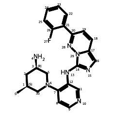 C[C@H]1C[C@@H](N)CN(c2ccncc2Nc2ncc3ccc(-c4ccccc4F)nn23)C1